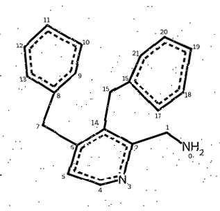 NCc1nccc(Cc2ccccc2)c1Cc1ccccc1